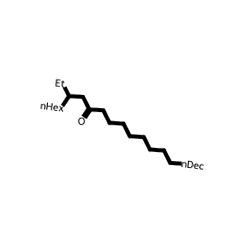 CCCCCCCCCCCCCCCCCCC(=O)CC(CC)CCCCCC